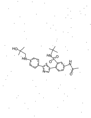 CC(=O)Nc1ccc(-c2cnc(-c3ccc(NCC(C)(C)O)cc3)s2)c(S(=O)(=O)NC(C)(C)C)c1